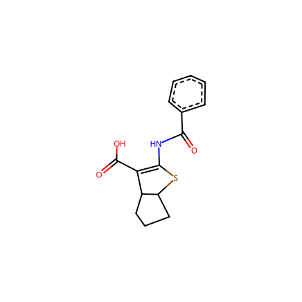 O=C(O)C1=C(NC(=O)c2ccccc2)SC2CCCC12